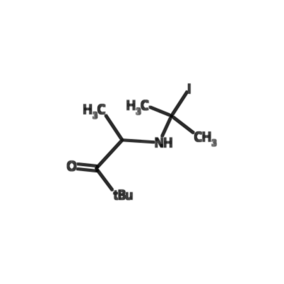 CC(NC(C)(C)I)C(=O)C(C)(C)C